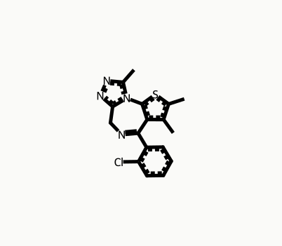 Cc1sc2c(c1C)C(c1ccccc1Cl)=NCc1nnc(C)n1-2